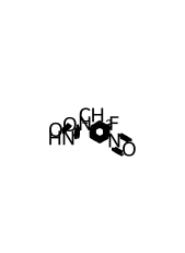 CN(c1ccc(N2CCOCC2)c(F)c1)C1CNC(=O)O1